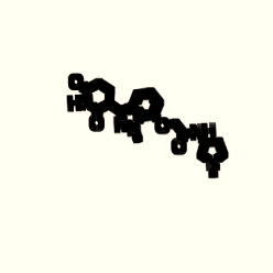 CN1CCC(NC(=O)COc2cccc3c(C4CCC(=O)NC4=O)nn(C)c23)C1